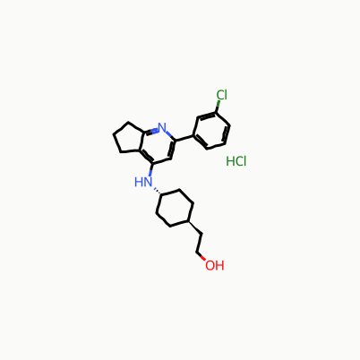 Cl.OCC[C@H]1CC[C@H](Nc2cc(-c3cccc(Cl)c3)nc3c2CCC3)CC1